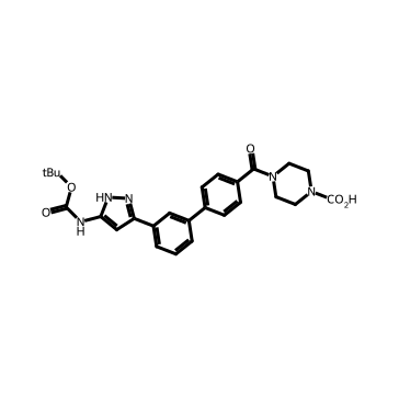 CC(C)(C)OC(=O)Nc1cc(-c2cccc(-c3ccc(C(=O)N4CCN(C(=O)O)CC4)cc3)c2)n[nH]1